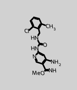 COC(=N)c1cnc(NC(=O)NCc2c(C)cccc2Cl)cc1N